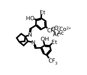 CC(=O)[O-].CC(=O)[O-].CCc1cc(C(F)(F)F)cc(C=NC2CC3CCC2(N=Cc2cc(C(F)(F)F)cc(CC)c2O)C3)c1O.[Co+2]